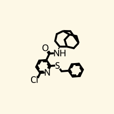 O=C(N[C@@H]1CCC2CC3CC2CC1C3)c1ccc(Cl)nc1SCc1ccccc1